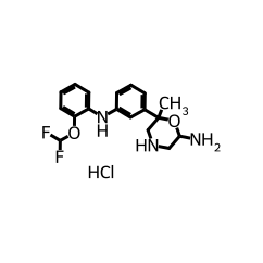 CC1(c2cccc(Nc3ccccc3OC(F)F)c2)CNCC(N)O1.Cl